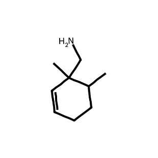 CC1CCC=CC1(C)CN